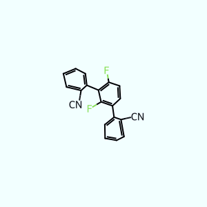 N#Cc1ccccc1-c1ccc(F)c(-c2ccccc2C#N)c1F